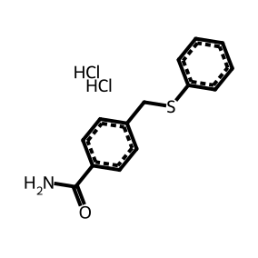 Cl.Cl.NC(=O)c1ccc(CSc2ccccc2)cc1